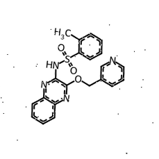 Cc1ccccc1S(=O)(=O)Nc1nc2ccccc2nc1OCc1cccnc1